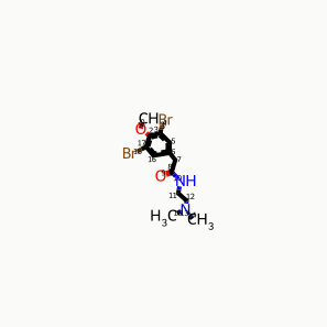 COc1c(Br)cc(CC(=O)NCCN(C)C)cc1Br